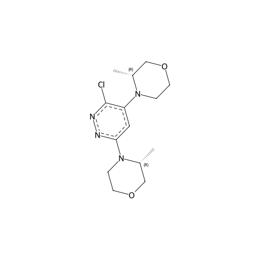 C[C@@H]1COCCN1c1cc(N2CCOC[C@H]2C)c(Cl)nn1